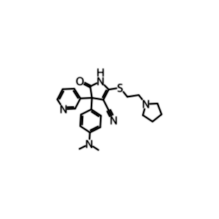 CN(C)c1ccc(C2(c3cccnc3)C(=O)NC(SCCN3CCCC3)=C2C#N)cc1